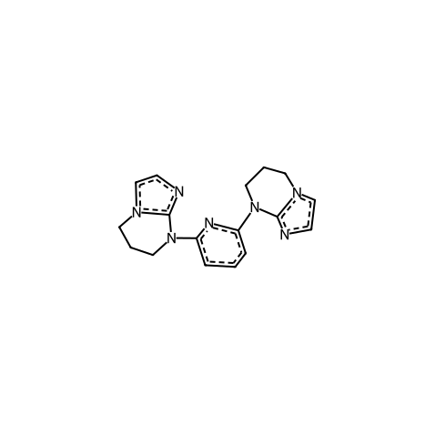 c1cc(N2CCCn3ccnc32)nc(N2CCCn3ccnc32)c1